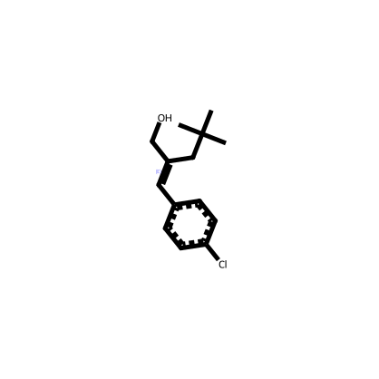 CC(C)(C)C/C(=C\c1ccc(Cl)cc1)CO